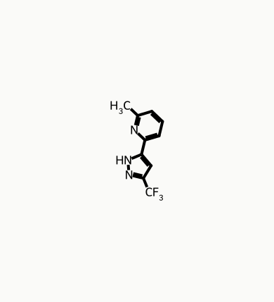 Cc1cccc(-c2cc(C(F)(F)F)n[nH]2)n1